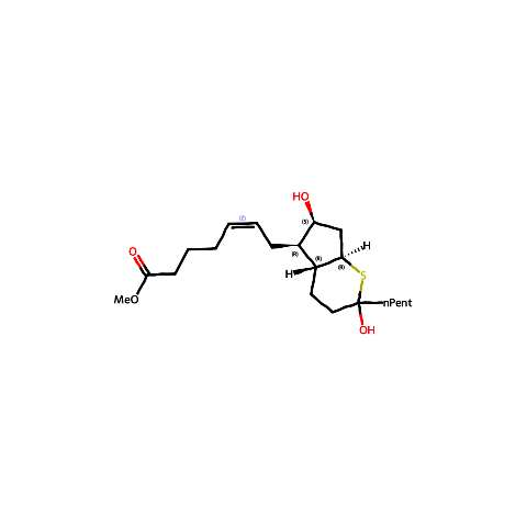 CCCCCC1(O)CC[C@@H]2[C@@H](C/C=C\CCCC(=O)OC)[C@@H](O)C[C@H]2S1